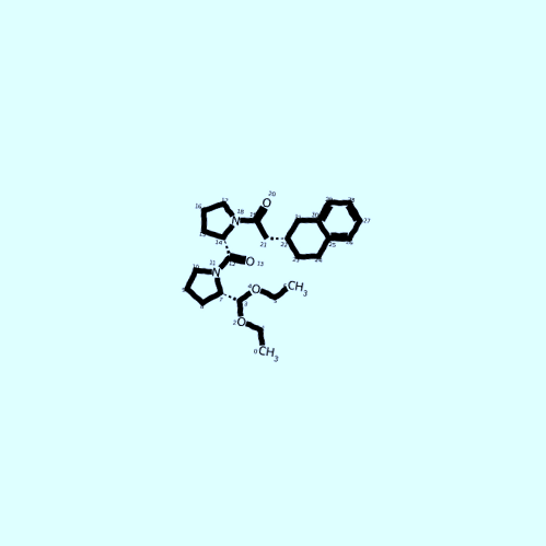 CCOC(OCC)[C@@H]1CCCN1C(=O)[C@@H]1CCCN1C(=O)C[C@H]1CCc2ccccc2C1